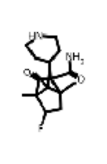 CC12C(=O)C(C(N)=O)(C3CCNCC3)C(C)(CC1F)C2(C)C